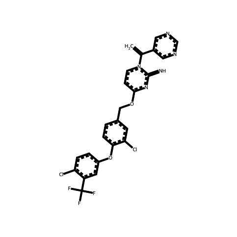 C=C(c1cncnc1)n1ccc(OCc2ccc(Oc3ccc(Cl)c(C(F)(F)F)c3)c(Cl)c2)nc1=N